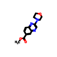 COC(=O)c1ccc2nc(N3CCOCC3)cnc2c1